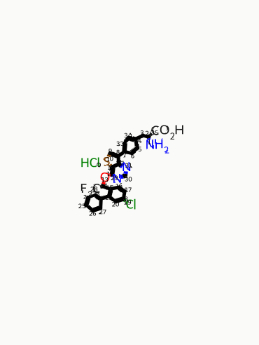 Cl.NC(Cc1ccc(-c2csc3c(OC(c4ccc(Cl)cc4-c4ccccc4)C(F)(F)F)ncnc23)cc1)C(=O)O